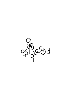 CC(C)OC(=O)[C@H](C)NP(=O)(OC[C@H]1O[C@@H](n2ccc(=S)[nH]c2=O)C[C@H]1O)Oc1ccccc1